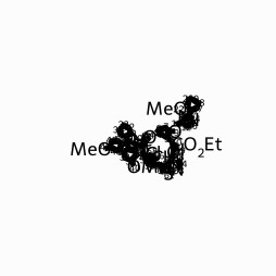 CCOC(=O)[C@H]1Cc2cc(ccc2OCc2ccnc(-c3ccccc3OC)n2)OC[C@H](COC(c2ccccc2)(c2ccc(OC)cc2)c2ccc(OC)cc2)Oc2ccc(c(C)c2Cl)-c2csc3ncnc(c23)O1